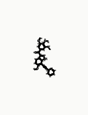 COc1cc(C(=O)c2n[nH]c3c(C#Cc4ccccn4)c(OC)ccc23)cc(OC)c1OC